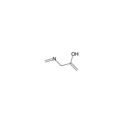 C=NCC(=C)O